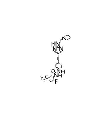 O=C(Nc1ccc(C#Cc2cnc(NCCN3CCCC3)nc2)cc1)Nc1cc(C(F)(F)F)ccc1F